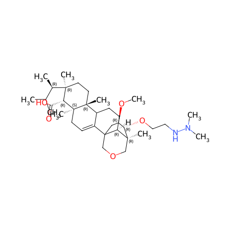 CO[C@@H]1CC23COC[C@@](C)([C@@H]2CCC2C3=CC[C@@]3(C)[C@H](C(=O)O)[C@@](C)([C@H](C)C(C)C)CC[C@]23C)[C@H]1OCCNN(C)C